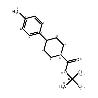 Cc1ccc(C2CCN(C(=O)OC(C)(C)C)CC2)cc1